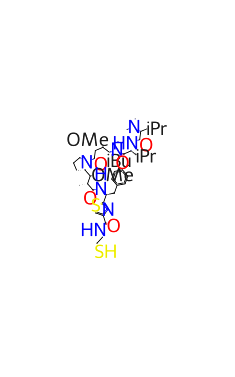 CC[C@H](C)[C@@H]([C@@H](CC(=O)N1CCC[C@H]1[C@H](OC)[C@@H](C)C(=O)N[C@@H](Cc1ccccc1)c1nc(C(=O)NCCS)cs1)OC)N(C)C(=O)[C@@H](NC(=O)C(C(C)C)N(C)C)C(C)C